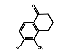 N#Cc1ccc2c(c1C(F)(F)F)CCCC2=O